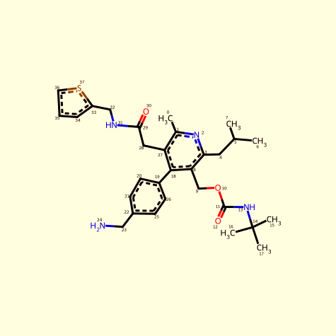 Cc1nc(CC(C)C)c(COC(=O)NC(C)(C)C)c(-c2ccc(CN)cc2)c1CC(=O)NCc1cccs1